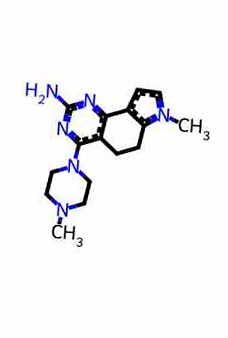 CN1CCN(c2nc(N)nc3c2CCc2c-3ccn2C)CC1